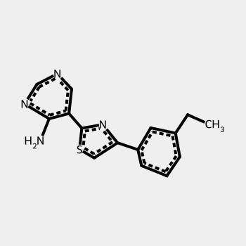 CCc1cccc(-c2csc(-c3cncnc3N)n2)c1